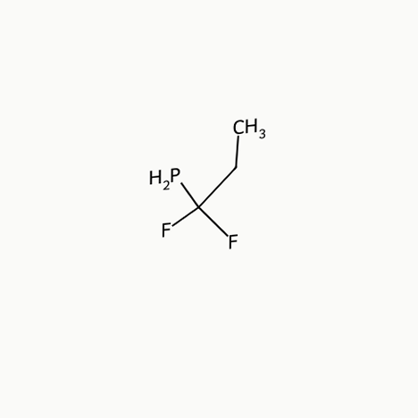 CCC(F)(F)P